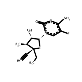 C#C[C@]1(CC)O[C@@H](n2cc(F)c(N)nc2=O)[C@@H](O)[C@@H]1C